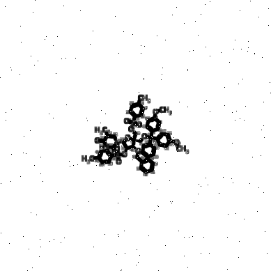 COc1ccc(C(OC[C@]2(COS(=O)(=O)c3ccc(C)cc3)O[C@@H](n3cc(C)c(=O)[nH]c3=O)[C@H](OS(=O)(=O)c3ccc(C)cc3)[C@H]2OCc2ccccc2)(c2ccccc2)c2ccc(OC)cc2)cc1